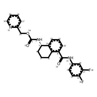 O=C(N[C@H]1CCCc2c(C(=O)Nc3ccc(F)c(F)c3)cccc21)OCc1ccccn1